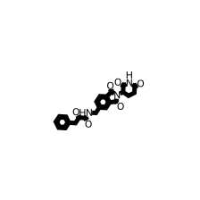 O=C1CCC(N2C(=O)c3ccc(CNC(=O)C(=O)Cc4ccccc4)cc3C2=O)C(=O)N1